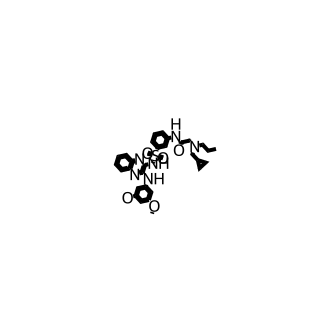 CCCN(CC(=O)Nc1cccc(S(=O)(=O)Nc2nc3ccccc3nc2Nc2cc(OC)cc(OC)c2)c1)CC1CC1